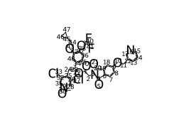 O=C(CN1C(=O)c2ccc(OCc3cccnc3)cc2C1=O)OC(Cc1c(Cl)c[n+]([O-])cc1Cl)c1ccc(OC(F)F)c(OCC2CC2)c1